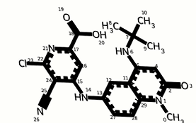 Cn1c(=O)cc(NC(C)(C)C)c2cc(Nc3cc(C(=O)O)nc(Cl)c3C#N)ccc21